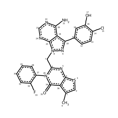 Cc1csc2nc(Cn3nc(-c4ccc(Cl)c(O)c4)c4c(N)ncnc43)n(-c3ccccc3F)c(=O)c12